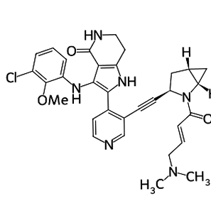 COc1c(Cl)cccc1Nc1c(-c2ccncc2C#C[C@H]2C[C@@H]3C[C@@H]3N2C(=O)/C=C/CN(C)C)[nH]c2c1C(=O)NCC2